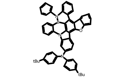 CC(C)(C)c1ccc(N(c2ccc(C(C)(C)C)cc2)c2ccc3c4c5oc6ccccc6c5c5c6c4n(c3c2)-c2ccccc2B6N(c2ccccc2)c2ccccc2-5)cc1